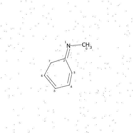 CN=C1C=CC=CC1